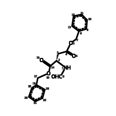 O=CN[C@@H](CC(=O)OCc1ccccc1)C(=O)OCc1ccccc1